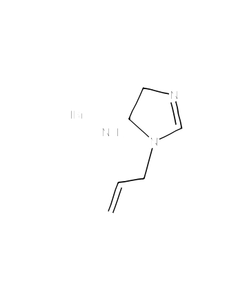 Br.C=CCN1C=NCC1.N